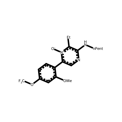 CCCCCNc1ncc(-c2ccc(OC(F)(F)F)cc2OC)[n+]([O-])c1CC